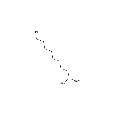 CCCC(O)CCCCCCCCC(C)C